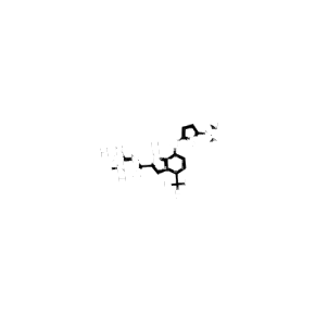 CNC(N)=NC(=O)c1cc2c(C(F)(F)F)ccc(Oc3ccc([N+](=O)[O-])s3)c2[nH]1